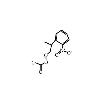 CC(COOC(=O)Cl)c1ccccc1[N+](=O)[O-]